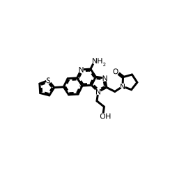 Nc1nc2cc(-c3cccs3)ccc2c2c1nc(CN1CCCC1=O)n2CCO